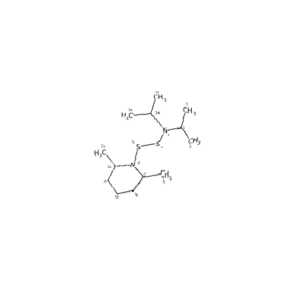 CC(C)N(SSN1C(C)CCCC1C)C(C)C